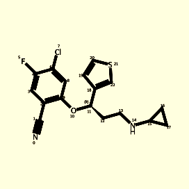 N#Cc1cc(F)c(Cl)cc1O[C@H](CCNC1CC1)c1ccsc1